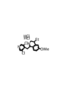 CCC1CN=C(Cc2c(Cl)cncc2Cl)c2ccc(OC)cc21.Cl.Cl